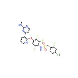 CNc1nccc(-c2cccnc2Oc2cc(F)c(NS(=O)(=O)Cc3ccc(Cl)cc3F)c(F)c2F)n1